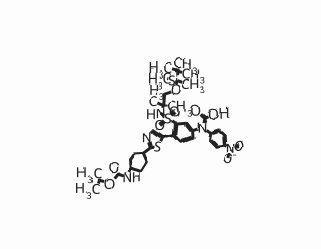 CC(C)OC(=O)NC1CCC(c2ncc(-c3ccc(N(C(=O)O)c4ccc([N+](=O)[O-])cc4)cc3S(=O)(=O)NC(C)(C)CO[Si](C)(C)C(C)(C)C)s2)CC1